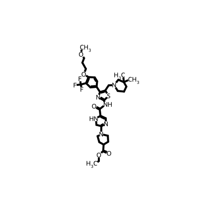 CCOC(=O)C1CCN(C2=NC=C(C(=O)Nc3nc(-c4ccc(OCCCOC)c(C(F)(F)F)c4)c(CN4CCCC(C)(C)C4)s3)NC2)CC1